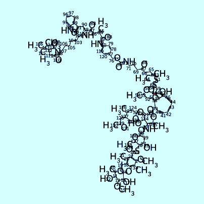 COc1c(C)c(OC2OC(C)C(O)C(OC)C2O)c(I)c(C)c1C(=O)SC1C(O)CC(ONC2C(C)OC(O[C@H]3C#C/C=C\C#C[C@]4(O)CC(=O)C(CC(C)=O)=C3/C4=C/CSSC(C)(C)CCC(=O)CCCNC(=O)OCc3ccc(NC(=O)[C@H](C)CC(=O)[C@H](Cc4c[nH]c5ccccc45)NC(=O)CCCCCN4C(=O)CC(C(C)(C)C)C4=O)cc3)C(OC3CC(C)C(CC(C)=O)CO3)C2O)OC1C